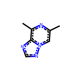 Cc1cn2ncnc2c(C)n1